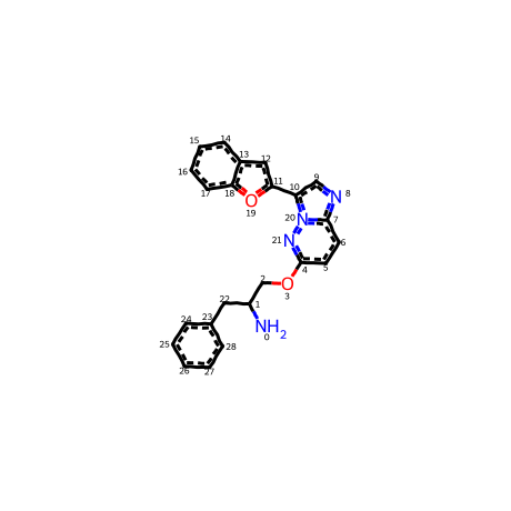 NC(COc1ccc2ncc(-c3cc4ccccc4o3)n2n1)Cc1ccccc1